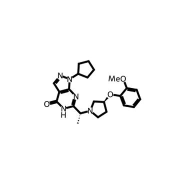 COc1ccccc1O[C@H]1CCN([C@H](C)c2nc3c(cnn3C3CCCC3)c(=O)[nH]2)C1